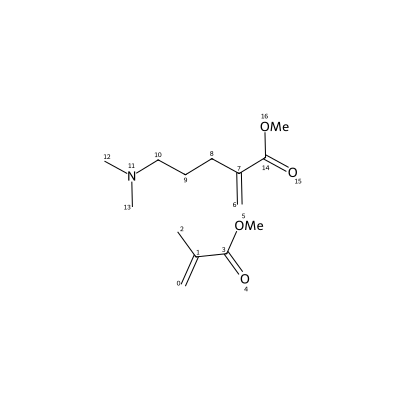 C=C(C)C(=O)OC.C=C(CCCN(C)C)C(=O)OC